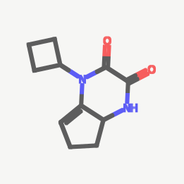 O=C1NC2CCC=C2N(C2CCC2)C1=O